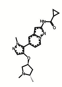 C[C@H]1C[C@H](Oc2cnn(C)c2-c2ccn3nc(NC(=O)C4CC4)cc3c2)CN1C